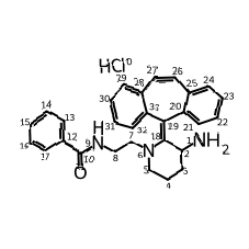 Cl.NC1CCCN(CCNC(=O)c2ccccc2)C1=C1c2ccccc2C=Cc2ccccc21